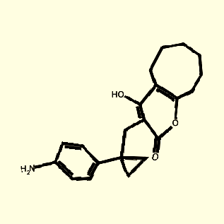 Nc1ccc(C2(Cc3c(O)c4c(oc3=O)CCCCCC4)CC2)cc1